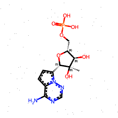 C[C@@]1(O)[C@H](O)[C@@H](COP(=O)(O)O)O[C@H]1c1ccc2c(N)ncnn12